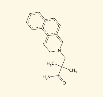 CC(C)(CN1C=c2ccc3ccccc3c2=NC1)C(N)=O